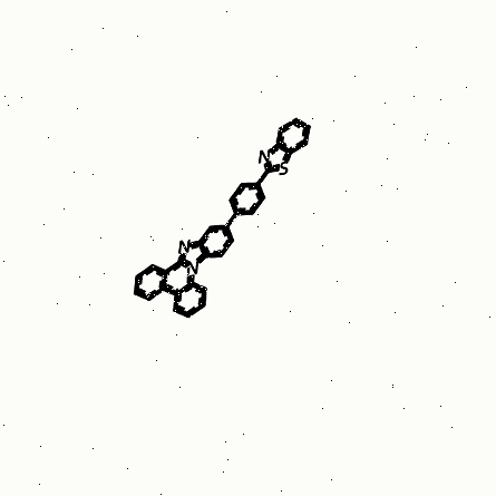 c1ccc2sc(-c3ccc(-c4ccc5c(c4)nc4c6ccccc6c6ccccc6n54)cc3)nc2c1